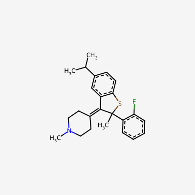 CC(C)c1ccc2c(c1)C(=C1CCN(C)CC1)C(C)(c1ccccc1F)S2